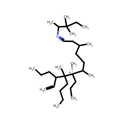 C=CC(CCC)C(C)(CCCC)[C@](C)(CCC)C(C)CCC(C)C/C=N\C(C)C(C)(C)CC